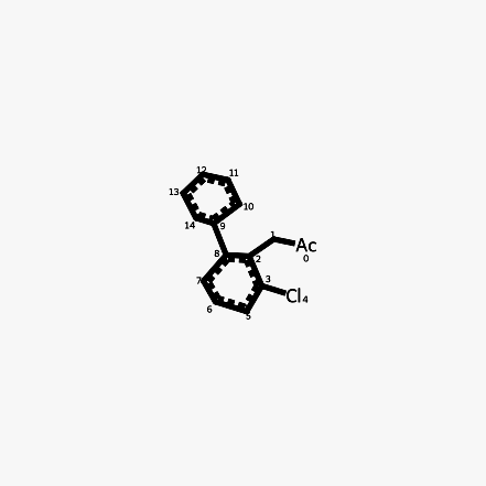 CC(=O)Cc1c(Cl)cccc1-c1ccccc1